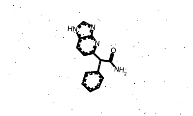 NC(=O)C(c1ccccc1)c1ccc2[nH]cnc2n1